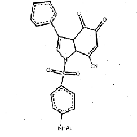 CC(=O)Nc1ccc(S(=O)(=O)N2C=C(c3ccccc3)C3C(=O)C(=O)C=C(C#N)C32)cc1